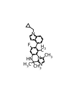 Cc1c(-c2cccc3c2ccn3CC2CC2)c(F)cc2c1-n1c(C)cnc1C(C)(C)N2